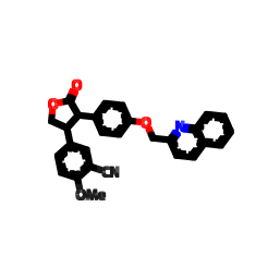 COc1ccc(C2COC(=O)C2c2ccc(OCc3ccc4ccccc4n3)cc2)cc1C#N